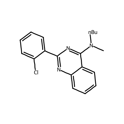 CCCCN(C)c1nc(-c2ccccc2Cl)nc2ccccc12